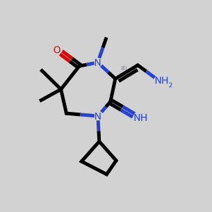 CN1C(=O)C(C)(C)CN(C2CCC2)C(=N)/C1=C\N